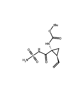 C=C[C@@H]1C[C@]1(NC(=O)OC(C)(C)C)C(=O)NS(N)(=O)=O